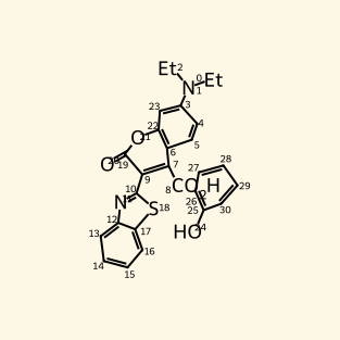 CCN(CC)c1ccc2c(C(=O)O)c(-c3nc4ccccc4s3)c(=O)oc2c1.Oc1ccccc1